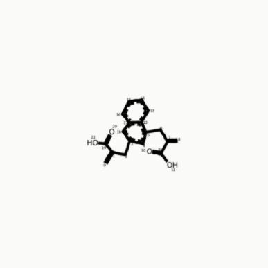 C=C(Cc1cc(CC(=C)C(=O)O)c2ccccc2c1)C(=O)O